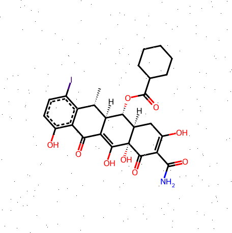 C[C@H]1c2c(I)ccc(O)c2C(=O)C2=C(O)[C@]3(O)C(=O)C(C(N)=O)=C(O)C[C@@H]3[C@@H](OC(=O)C3CCCCC3)[C@@H]21